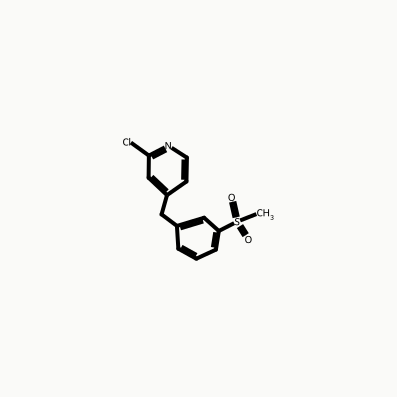 CS(=O)(=O)c1cccc(Cc2ccnc(Cl)c2)c1